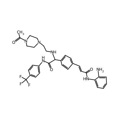 CC(=O)N1CCN(CCNC(C(=O)Nc2ccc(C(F)(F)F)cc2)c2ccc(/C=C/C(=O)Nc3ccccc3N)cc2)CC1